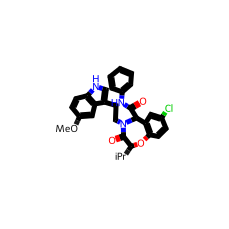 COc1ccc2[nH]cc(CCN3C(=O)C(C(C)C)Oc4ccc(Cl)cc4C3C(=O)Nc3ccccc3)c2c1